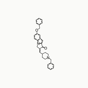 O=C1/C(=C\C2CCN(Cc3ccccc3)CC2)Cn2c1cc1cc(OCc3ccccc3)ccc12